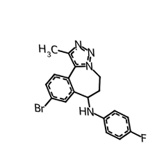 Cc1nnn2c1-c1ccc(Br)cc1C(Nc1ccc(F)cc1)CC2